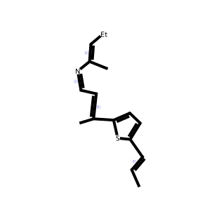 C/C=C/c1ccc(/C(C)=C/C=N\C(C)=C\CC)s1